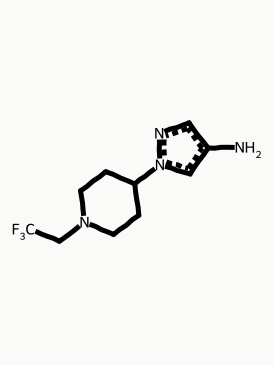 Nc1cnn(C2CCN(CC(F)(F)F)CC2)c1